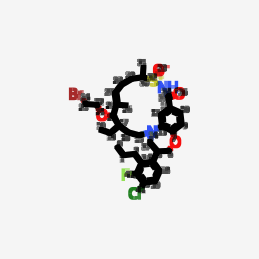 CCCc1c(C2COc3ccc4cc3N(CCC(CC)C(OCCBr)/C(C)=C/CCC(C)[S+]([O-])NC4=O)C2)ccc(Cl)c1F